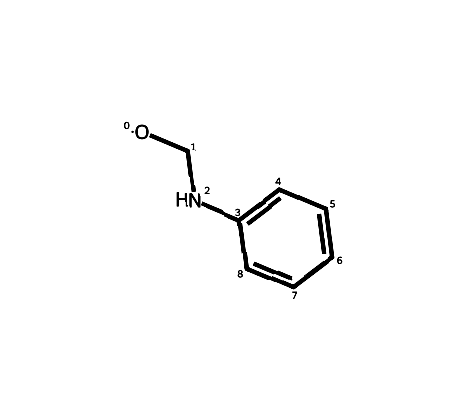 [O]CNc1ccccc1